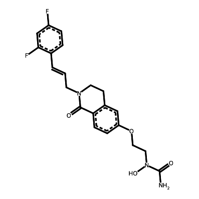 NC(=O)N(O)CCOc1ccc2c(c1)CCN(CC=Cc1ccc(F)cc1F)C2=O